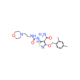 Cc1ccc(COc2nsc(NC(=O)NCCN3CCOCC3)c2C(N)=O)c(C)c1